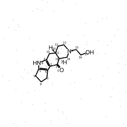 O=C1c2c([nH]c3c2CCC3)C[C@@H]2CCN(CCO)C[C@@H]12